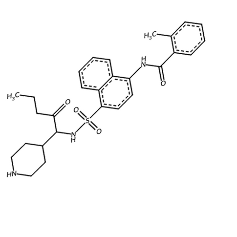 CCCC(=O)C(NS(=O)(=O)c1ccc(NC(=O)c2ccccc2C)c2ccccc12)C1CCNCC1